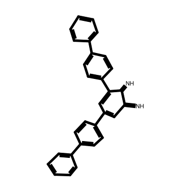 N=C1C=C(c2ccc(-c3ccccc3)cc2)C=C(c2ccc(-c3ccccc3)cc2)C1=N